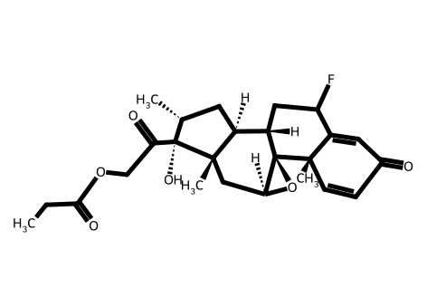 CCC(=O)OCC(=O)[C@@]1(O)[C@H](C)C[C@H]2[C@@H]3CC(F)C4=CC(=O)C=C[C@]4(C)[C@@]34O[C@H]4C[C@@]21C